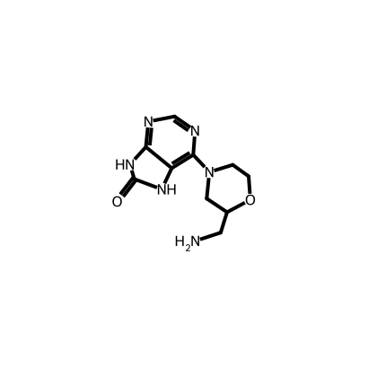 NCC1CN(c2ncnc3[nH]c(=O)[nH]c23)CCO1